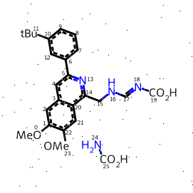 COc1cc2cc(-c3cccc(C(C)(C)C)c3)nc(CNC=NC(=O)O)c2cc1OC.NC(=O)O